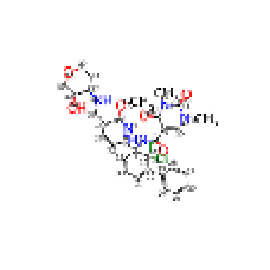 COc1nc(C2(NC(=O)c3cn(C)c(=O)n(C)c3=O)C=CC=C(c3ccccc3)C2(F)Cl)ccc1CN[C@@H]1CCOC[C@@H]1O